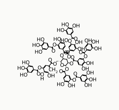 C=C(/C=C(OC(=O)c1cc(O)c(O)c(O)c1)\C(O)=C\O)C(=O)OC[C@H]1O[C@@H](OC(=O)c2cc(O)c(O)c(OC(=O)c3cc(O)c(O)c(O)c3)c2)[C@H](OC(=O)c2cc(O)c(O)c(OC(=O)c3cc(O)c(O)c(O)c3)c2)[C@@H](OC(=O)c2cc(O)c(O)c(OC(=O)c3cc(O)c(O)c(O)c3)c2)[C@@H]1OC(=O)c1cc(O)c(O)c(OC(=O)c2cc(O)c(O)c(O)c2)c1